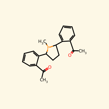 CC(=O)c1ccccc1C1CCC(c2ccccc2C(C)=O)P1C